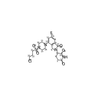 O=C1CCC(N2Cc3c(cc(F)cc3N3CCN(S(=O)(=O)CCCCl)CC3)C2=O)C(=O)N1